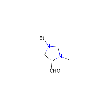 CCN1CC(C=O)N(C)C1